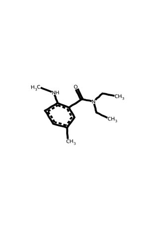 CCN(CC)C(=O)c1cc(C)ccc1NC